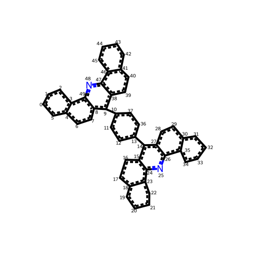 c1ccc2c(c1)ccc1c(-c3ccc(-c4c5ccc6ccccc6c5nc5c4ccc4ccccc45)cc3)c3ccc4ccccc4c3nc12